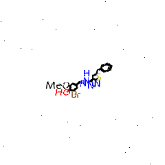 COc1cc(C=NNc2ncnc3sc(Cc4ccccc4)cc23)cc(Br)c1O